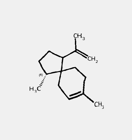 C=C(C)C1CC[C@@H](C)C12CC=C(C)CC2